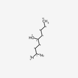 [3H]C([3H])CCC(O)CCCC